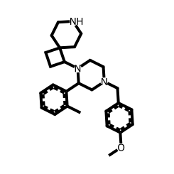 COc1ccc(CN2CCN(C3CCC34CCNCC4)C(c3ccccc3C)C2)cc1